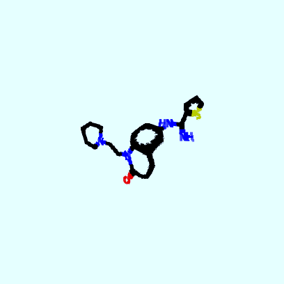 N=C(Nc1ccc2c(c1)CCC(=O)N2CCN1CCCCC1)c1cccs1